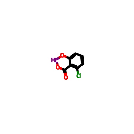 O=C1OPOc2cccc(Cl)c21